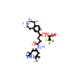 CC1(C)CC(NC(=O)CCC(=O)c2ccc3c(c2)CCNCC3)CC(C)(C)N1.O=C(O)C(F)(F)F